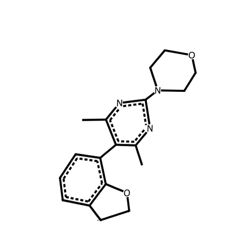 Cc1nc(N2CCOCC2)nc(C)c1-c1cccc2c1OC[CH]2